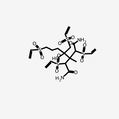 C=CS(=O)(=O)CCCC(O)(CS(=O)(=O)C=C)C(C)(C(C(N)=O)S(=O)(=O)C=C)C(C(N)=O)S(=O)(=O)C=C